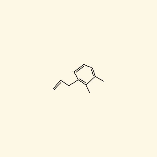 C=CCc1[c]ccc(C)c1C